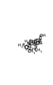 CCCO[C@@H]1C[C@@H]2[C@@H]([C@@]2(F)COCO)[C@]1(N)C(=O)O[C@@H](C)OC(=O)O[C@@H]1C[C@H](C)CC[C@H]1C(C)C